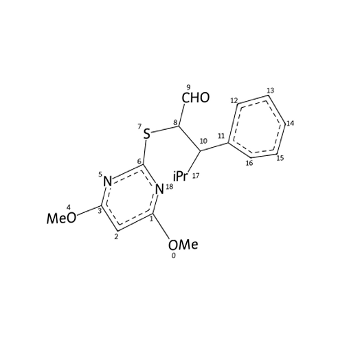 COc1cc(OC)nc(SC(C=O)C(c2ccccc2)C(C)C)n1